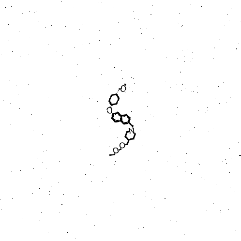 CCOCOCC1CCN(Cc2ccc3cc(O[C@H]4CC[C@@H](COC)CC4)ccc3c2)CC1